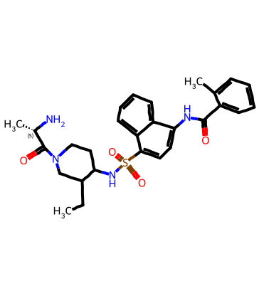 CCC1CN(C(=O)[C@H](C)N)CCC1NS(=O)(=O)c1ccc(NC(=O)c2ccccc2C)c2ccccc12